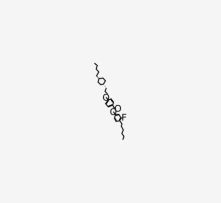 CCCCCCc1ccc(OC(=O)c2ccc(OCCC[C@H]3CC[C@H](CCCCC)CC3)cc2)cc1F